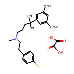 COc1cc(OC)cc(C(C#N)(CCCN(C)CCc2ccc(F)cc2)C(C)C)c1.O=C(O)C(=O)O